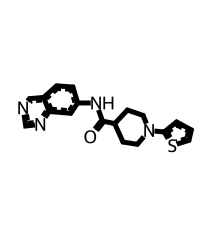 O=C(Nc1ccc2cncnc2c1)C1CCN(c2cccs2)CC1